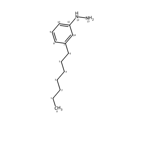 CCCCCCCc1cccc(NN)c1